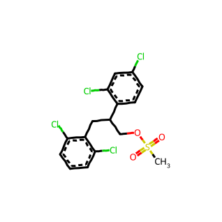 CS(=O)(=O)OCC(Cc1c(Cl)cccc1Cl)c1ccc(Cl)cc1Cl